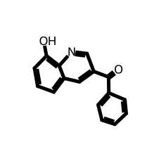 O=C(c1ccccc1)c1cnc2c(O)cccc2c1